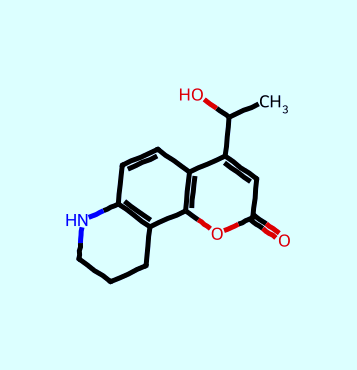 CC(O)c1cc(=O)oc2c3c(ccc12)NCCC3